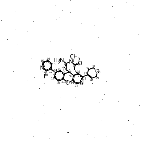 CN1C(=O)C[C@@]2(N=C1N)c1cc(-c3cccnc3F)ccc1Oc1cnc(C3=CCOCC3)cc12